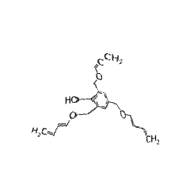 C=C=COCc1cc(COC=CC=C)cc(COC=CC=C)c1O